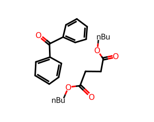 CCCCOC(=O)CCC(=O)OCCCC.O=C(c1ccccc1)c1ccccc1